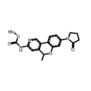 CC1Oc2cc(N3CCCC3=O)ccc2-c2cnc(NC(=O)OC(C)(C)C)cc21